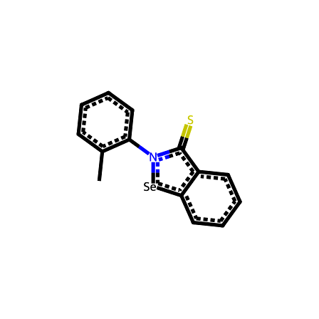 Cc1ccccc1-n1[se]c2ccccc2c1=S